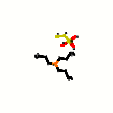 CCCP(CCC)CCC.O=S(=O)(O)SS